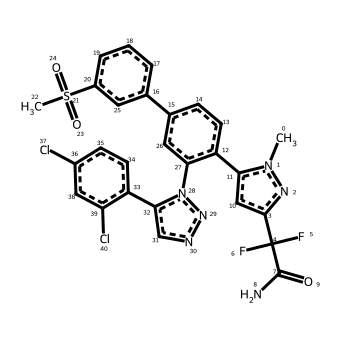 Cn1nc(C(F)(F)C(N)=O)cc1-c1ccc(-c2cccc(S(C)(=O)=O)c2)cc1-n1nncc1-c1ccc(Cl)cc1Cl